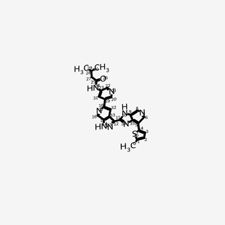 Cc1ccc(-c2cncc3[nH]c(-c4n[nH]c5cnc(-c6cncc(NC(=O)CC(C)C)c6)cc45)nc23)s1